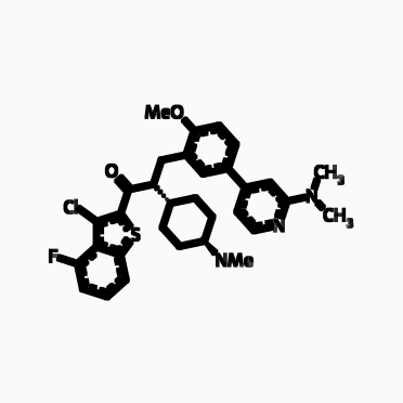 CN[C@H]1CC[C@H](C(Cc2cc(-c3ccnc(N(C)C)c3)ccc2OC)C(=O)c2sc3cccc(F)c3c2Cl)CC1